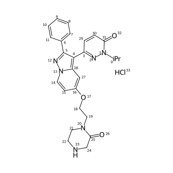 CC(C)n1nc(-c2c(-c3ccccc3)nn3ccc(OCCN4CCNCC4=O)cc23)ccc1=O.Cl